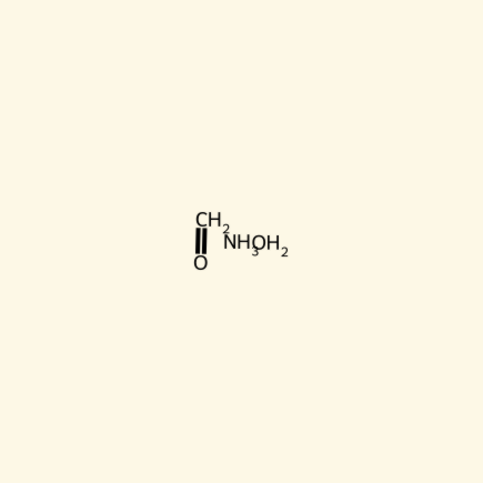 C=O.N.O